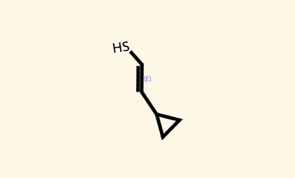 S/C=C/C1CC1